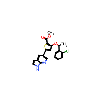 COC(=O)c1sc(-c2cnc3[nH]ccc3c2)cc1OC(C)c1ccccc1Cl